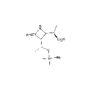 C[C@@H](O[Si](C)(C)C(C)(C)C)C1C(=O)NC1[C@@H](C)C(=O)O